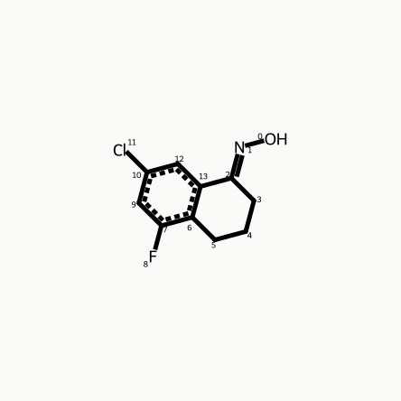 ON=C1CCCc2c(F)cc(Cl)cc21